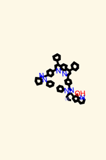 C/C=C\c1c(-c2ccc3cccnc3c2O)nc(-c2ccc(-c3cc(-c4ccccc4)c4ccc5c(-c6ccccc6)cc(-c6ccc(-c7nc8ccccc8n7-c7ccccc7)cc6)nc5c4n3)cc2)n1-c1ccccc1